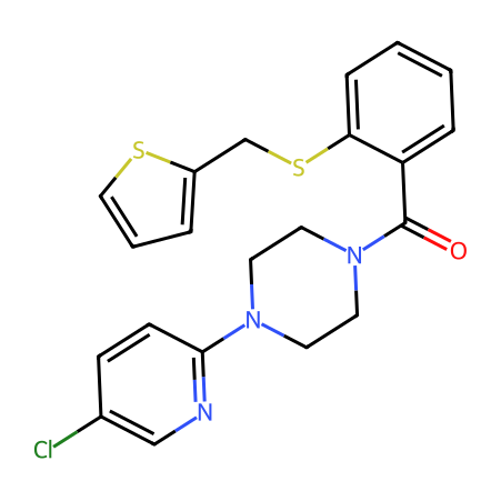 O=C(c1ccccc1SCc1cccs1)N1CCN(c2ccc(Cl)cn2)CC1